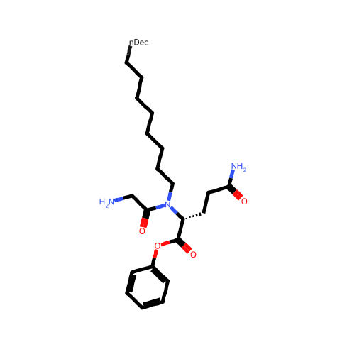 CCCCCCCCCCCCCCCCCCN(C(=O)CN)[C@H](CCC(N)=O)C(=O)Oc1ccccc1